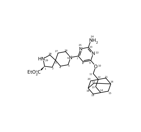 CCOC(=O)[C@@H]1CC2(CCN(c3cc(OCC45CC6CC(CC(C6)C4)C5)nc(N)n3)CC2)CN1